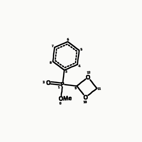 COP(=O)(c1ccccc1)C1OCO1